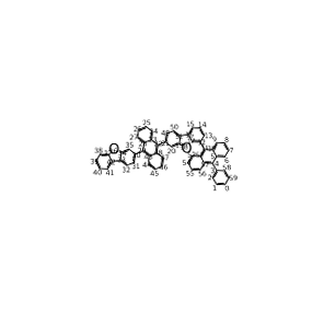 c1ccc(-c2c3ccccc3c(-c3cccc4c3oc3cc(-c5c6ccccc6c(-c6ccc7c(c6)oc6ccccc67)c6ccccc56)ccc34)c3ccccc23)cc1